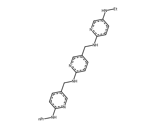 CCCNc1ccc(CNc2ccc(CNc3ccc(NCC)cn3)cn2)cn1